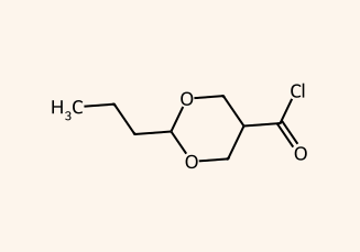 CCCC1OCC(C(=O)Cl)CO1